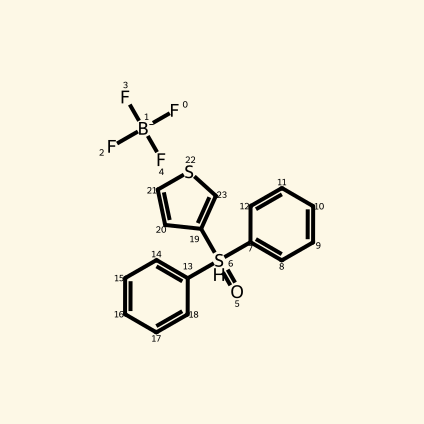 F[B-](F)(F)F.O=[SH](c1ccccc1)(c1ccccc1)c1ccsc1